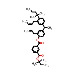 C=CCc1cc(C(C)c2ccc(C(C)(C)CCC)c(C/C=C\C)c2)ccc1OC(=O)c1cccc(C(=O)OC(C)(C)CC)c1